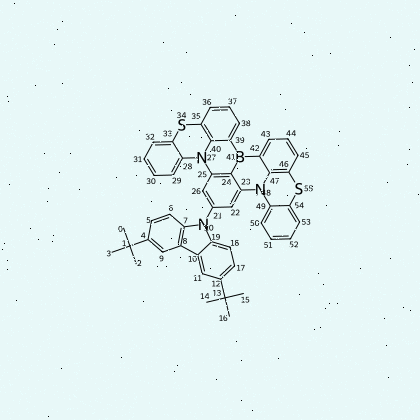 CC(C)(C)c1ccc2c(c1)c1cc(C(C)(C)C)ccc1n2-c1cc2c3c(c1)N1c4ccccc4Sc4cccc(c41)B3c1cccc3c1N2c1ccccc1S3